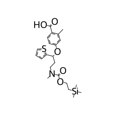 Cc1cc(OC(CCN(C)C(=O)OCC[Si](C)(C)C)c2cccs2)ccc1C(=O)O